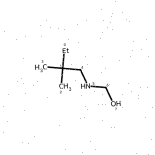 CCC(C)(C)CNCO